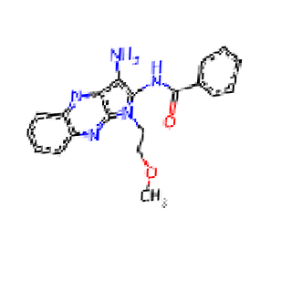 COCCn1c(NC(=O)c2ccccc2)c(N)c2nc3ccccc3nc21